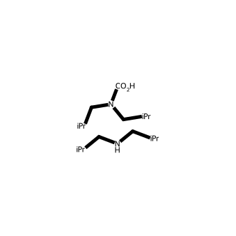 CC(C)CN(CC(C)C)C(=O)O.CC(C)CNCC(C)C